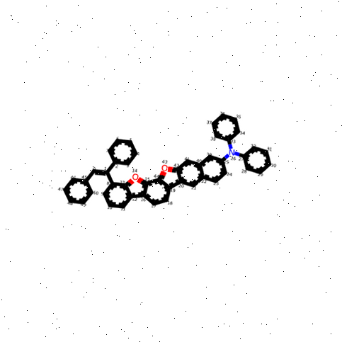 C(=C(\c1ccccc1)c1cccc2c1oc1c2ccc2c3cc4ccc(N(c5ccccc5)c5ccccc5)cc4cc3oc21)/c1ccccc1